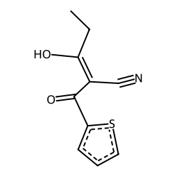 CC/C(O)=C(\C#N)C(=O)c1cccs1